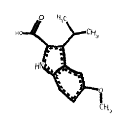 COc1ccc2[nH]c(C(=O)O)c(C(C)C)c2c1